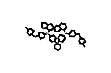 Cc1ccc(Cc2ccc(N(c3ccc(C4(c5ccc(N(c6ccc(Cc7ccc(C)cc7)cc6)c6cccc7ccccc67)cc5)CCCCC4)cc3)c3cccc4ccccc34)cc2)cc1